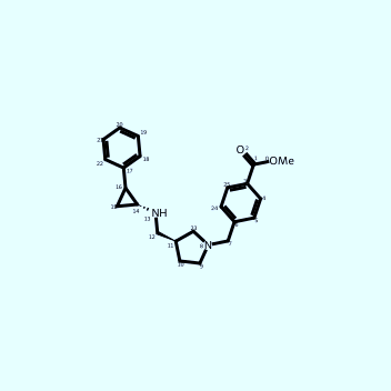 COC(=O)c1ccc(CN2CC[C@@H](CN[C@@H]3CC3c3ccccc3)C2)cc1